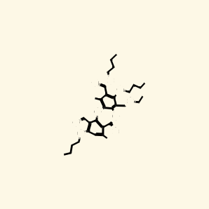 CCCCOC(=O)c1c(C)c2c(c(COCC)c1OCCCC)OC(=O)c1c(C)cc(OCCCC)c(C=O)c1O2